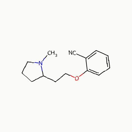 CN1CCCC1CCOc1ccccc1C#N